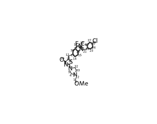 COCCN1CCN(C2=NC(=O)/C(=C/c3ccc4c(cnn4Cc4ccc(Cl)cc4C(F)(F)F)c3)S2)CC1